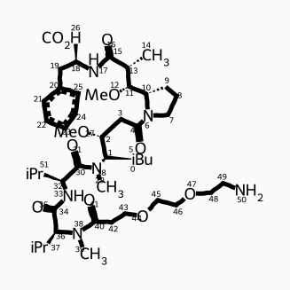 CC[C@H](C)[C@@H]([C@@H](CC(=O)N1CCC[C@H]1[C@H](OC)[C@@H](C)C(=O)N[C@@H](Cc1ccccc1)C(=O)O)OC)N(C)C(=O)[C@@H](NC(=O)[C@H](C(C)C)N(C)C(=O)CCOCCOCCN)C(C)C